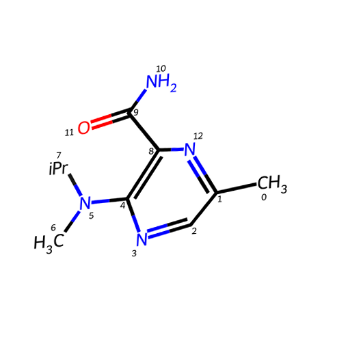 Cc1cnc(N(C)C(C)C)c(C(N)=O)n1